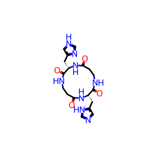 O=C1CCNC(=O)[C@H](Cc2cnc[nH]2)NC(=O)CCNC(=O)[C@H](Cc2c[nH]cn2)N1